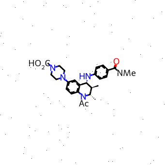 CNC(=O)c1ccc(N[C@H]2c3cc(N4CCN(C(=O)O)CC4)ccc3N(C(C)=O)[C@@H](C)[C@@H]2C)cc1